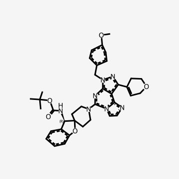 COc1ccc(Cn2nc(C3=CCOCC3)c3c2nc(N2CCC4(CC2)Oc2ccccc2[C@H]4NC(=O)OC(C)(C)C)n2ccnc32)cc1